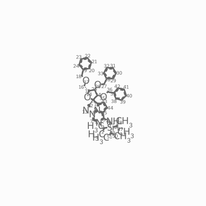 CC(C)[Si](Nc1ncnn2c([C@]3(C#N)O[C@H](COCc4ccccc4)[C@@H](OCc4ccccc4)[C@H]3OCc3ccccc3)ccc12)(C(C)C)C(C)C